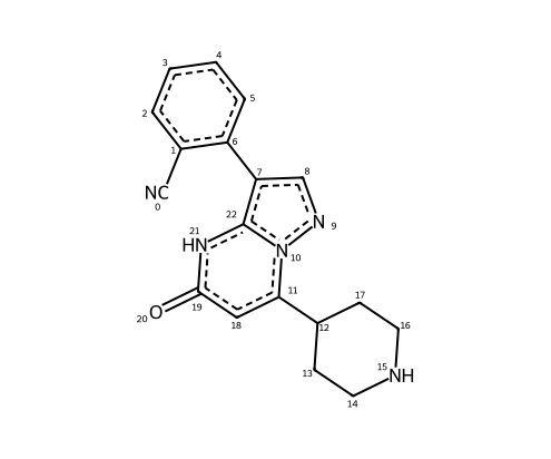 N#Cc1ccccc1-c1cnn2c(C3CCNCC3)cc(=O)[nH]c12